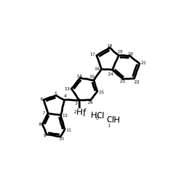 Cl.Cl.[Hf][C]1(C2C=Cc3ccccc32)C=CC(C2C=Cc3ccccc32)=CC1